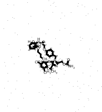 CCCCOC(=O)[C@H](C)NP(=O)(COc1ccc(Cn2c(COC(N)=O)nc(C(C)C)c2Sc2cc(Cl)cc(Cl)c2)cc1)Oc1ccccc1